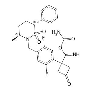 C[C@H]1CC[C@H](c2ccccc2)S(=O)(=O)N1Cc1cc(F)c(C2(C(=N)OC(N)=O)CC(=O)C2)cc1F